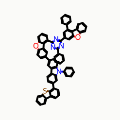 c1ccc(-c2nc(-c3cc(-c4ccccc4)c4c(c3)oc3ccccc34)nc(-c3cccc4oc5ccc(-c6ccc7c(c6)c6ccc(-c8cccc9c8sc8ccccc89)cc6n7-c6ccccc6)cc5c34)n2)cc1